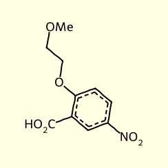 COCCOc1ccc([N+](=O)[O-])cc1C(=O)O